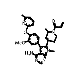 C=CC(=O)N1CCC(c2c(-c3ccc(Oc4cccc(C)n4)c(OC)c3)c3c(N)ncnc3n2C)=CC1C